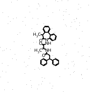 CC1C(=O)N(NC(=O)[C@H](C)NC(=O)CC(c2ccccc2)c2ccccc2)c2ccccc2-c2ccccc21